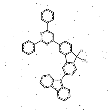 CC1(C)c2ccc(-c3cc(-c4ccccc4)nc(-c4ccccc4)n3)cc2-c2cc(-n3c4ccccc4c4ccccc43)ccc21